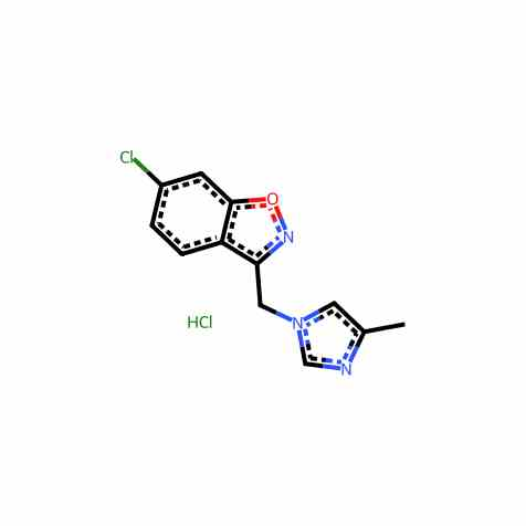 Cc1cn(Cc2noc3cc(Cl)ccc23)cn1.Cl